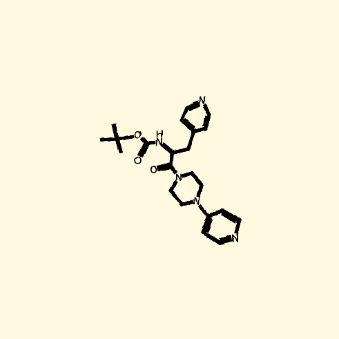 CC(C)(C)OC(=O)NC(Cc1ccncc1)C(=O)N1CCN(c2ccncc2)CC1